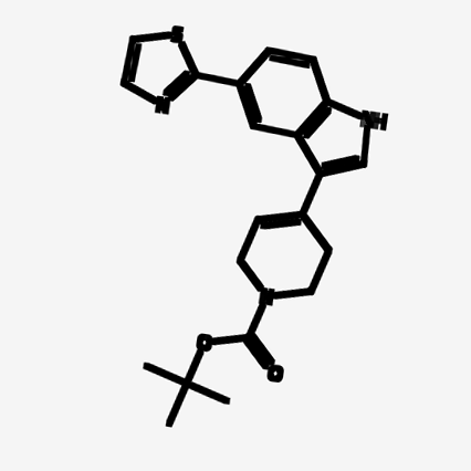 CC(C)(C)OC(=O)N1CC=C(c2c[nH]c3ccc(-c4nccs4)cc23)CC1